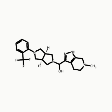 CN1CCc2c(C(O)N3C[C@H]4CN(c5ccccc5C(F)(F)F)C[C@H]4C3)n[nH]c2C1